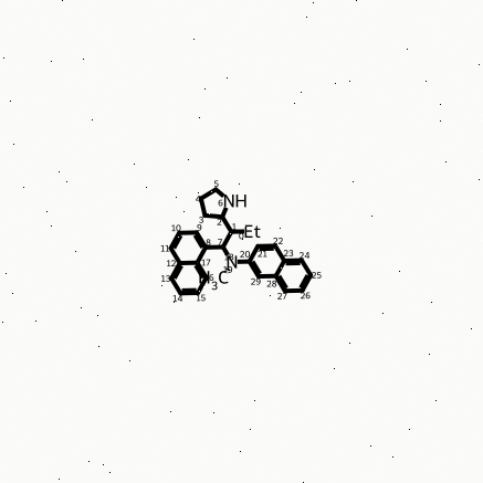 CCC(C1CCCN1)C(c1cccc2ccccc12)N(C)c1ccc2ccccc2c1